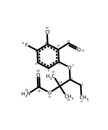 CCC(Oc1ccc(F)c(Cl)c1C=O)C(C)(C)OC(N)=O